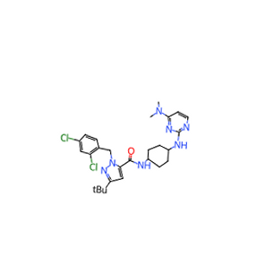 CN(C)c1ccnc(NC2CCC(NC(=O)c3cc(C(C)(C)C)nn3Cc3ccc(Cl)cc3Cl)CC2)n1